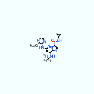 [2H]C([2H])([2H])Nc1cc(Nc2nccnc2OC)nn2c(C(=O)N[C@@H]3C[C@@H]3F)cnc12